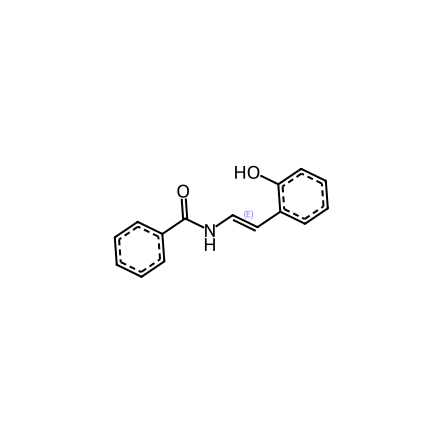 O=C(N/C=C/c1ccccc1O)c1ccccc1